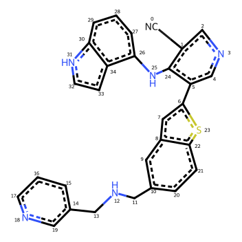 N#Cc1cncc(-c2cc3cc(CNCc4cccnc4)ccc3s2)c1Nc1cccc2[nH]ccc12